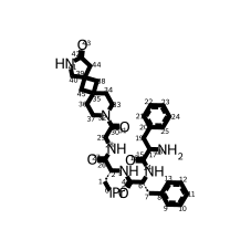 CC(C)C[C@@H](NC(=O)[C@@H](Cc1ccccc1)NC(=O)C(N)Cc1ccccc1)C(=O)NCC(=O)N1CCC2(CC1)CC1(CNC(=O)C1)C2